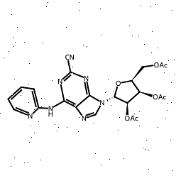 CC(=O)OC[C@@H]1O[C@@H](n2cnc3c(Nc4ccccn4)nc(C#N)nc32)[C@H](OC(C)=O)[C@@H]1OC(C)=O